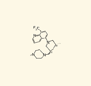 C[C@@H]1C[C@@H](CN2CCN(C)CC2)CN(c2ccc(C(F)(F)F)c3ncccc23)C1